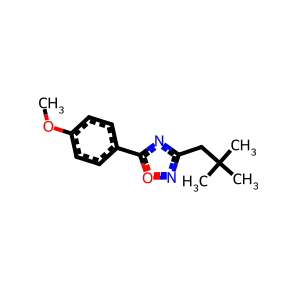 COc1ccc(-c2nc(CC(C)(C)C)no2)cc1